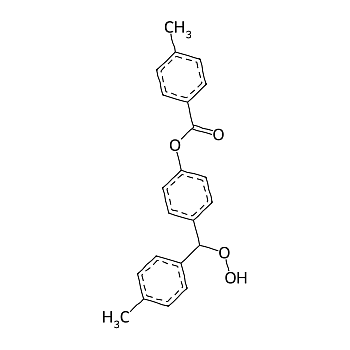 Cc1ccc(C(=O)Oc2ccc(C(OO)c3ccc(C)cc3)cc2)cc1